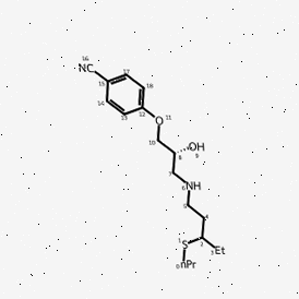 CCCSC(CC)CCNC[C@@H](O)COc1ccc(C#N)cc1